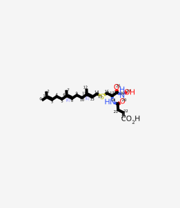 CC(C)=CCC/C(C)=C/CC/C(C)=C/CSCC(NC(=O)CCC(=O)O)C(=O)NO